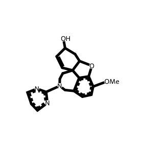 COc1ccc2c3c1OC1CC(O)C=CC31CCN(c1ncccn1)C2